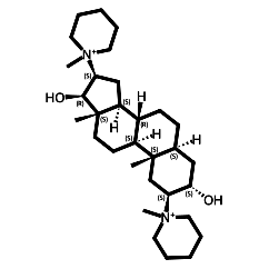 C[C@]12C[C@H]([N+]3(C)CCCCC3)[C@@H](O)C[C@@H]1CC[C@@H]1[C@@H]2CC[C@]2(C)[C@@H](O)[C@@H]([N+]3(C)CCCCC3)C[C@@H]12